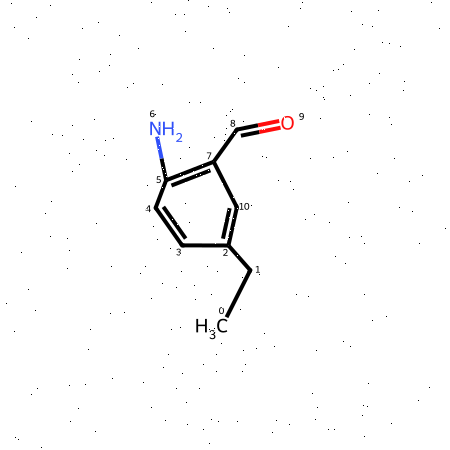 CCc1ccc(N)c(C=O)c1